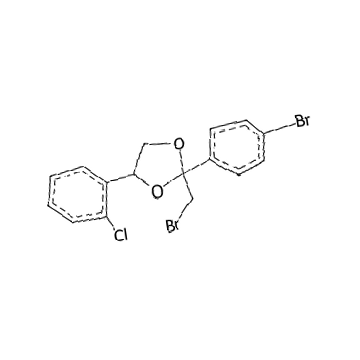 Clc1ccccc1C1COC(CBr)(c2ccc(Br)cc2)O1